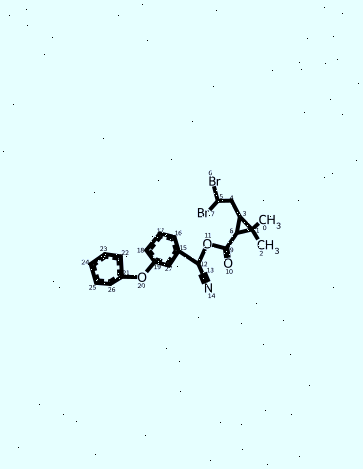 CC1(C)C(CC(Br)Br)C1C(=O)OC(C#N)c1cccc(Oc2ccccc2)c1